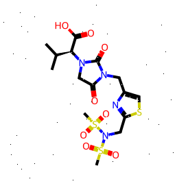 CC(C)[C@@H](C(=O)O)N1CC(=O)N(Cc2csc(CN(S(C)(=O)=O)S(C)(=O)=O)n2)C1=O